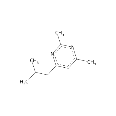 Cc1cc(CC(C)C)nc(C)n1